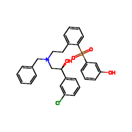 O=S(=O)(c1cccc(O)c1)c1ccccc1CCN(Cc1ccccc1)C[C@@H](O)c1cccc(Cl)c1